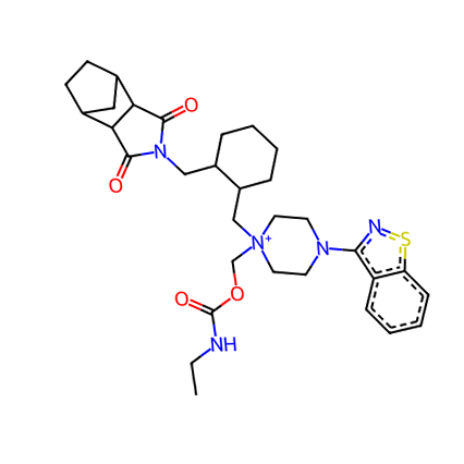 CCNC(=O)OC[N+]1(CC2CCCCC2CN2C(=O)C3C4CCC(C4)C3C2=O)CCN(c2nsc3ccccc23)CC1